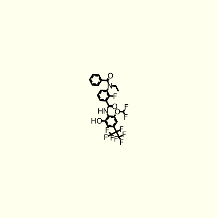 CCN(C(=O)c1ccccc1)c1cccc(C(=O)Nc2c(O)cc(C(F)(C(F)(F)F)C(F)(F)F)cc2OC(F)F)c1F